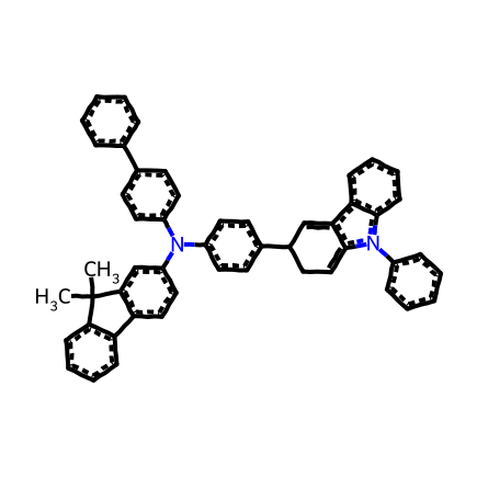 CC1(C)c2ccccc2-c2ccc(N(c3ccc(-c4ccccc4)cc3)c3ccc(C4C=c5c(n(-c6ccccc6)c6ccccc56)=CC4)cc3)cc21